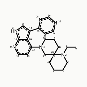 CCN1CCCC[C@@]12CCCN(c1ccnc3[nH]cc(-c4ccncn4)c13)C2